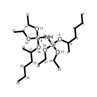 CCCCC(C)O[Si](N[Si](OCC)(OCC)OC(C)CCCC)(OCC)OCC